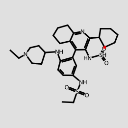 CCN1CCC(Nc2ccc(NS(=O)(=O)CC)cc2-c2c3c(nc(C4CCCCC4)c2N[SH](=O)=O)CCCC3)CC1